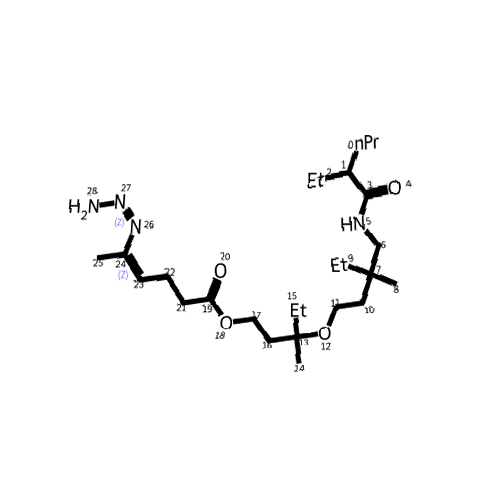 CCCC(CC)C(=O)NCC(C)(CC)CCOC(C)(CC)CCOC(=O)CC/C=C(C)\N=N/N